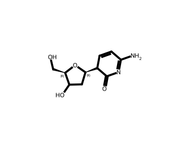 NC1=NC(=O)C([C@H]2CC(O)[C@@H](CO)O2)C=C1